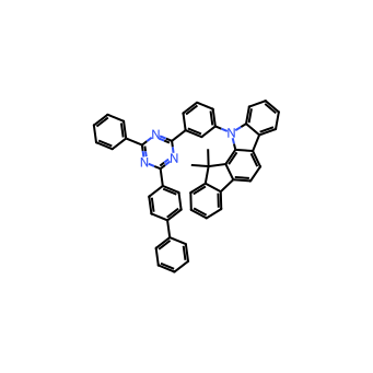 CC1(C)c2ccccc2-c2ccc3c4ccccc4n(-c4cccc(-c5nc(-c6ccccc6)nc(-c6ccc(-c7ccccc7)cc6)n5)c4)c3c21